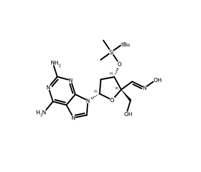 CC(C)(C)[Si](C)(C)O[C@H]1C[C@@H](n2cnc3c(N)nc(N)nc32)O[C@]1(C=NO)CO